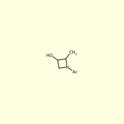 CC(=O)N1CC(O)C1C